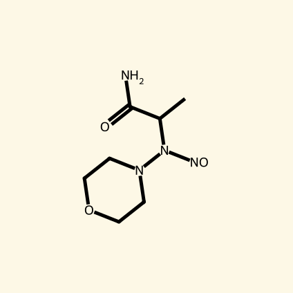 CC(C(N)=O)N(N=O)N1CCOCC1